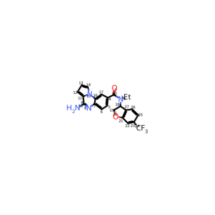 CCN(C(=O)c1ccc2nc(N)c3cccn3c2c1)C1COc2cc(C(F)(F)F)ccc21